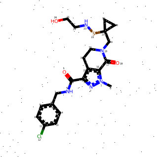 Cn1nc(C(=O)NCc2ccc(Cl)cc2)c2c1C(=O)N(CC1(SNCCO)CC1)CC2